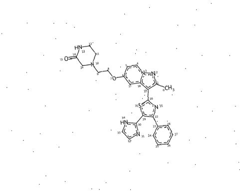 Cc1nn2ccc(OCCN3CCNC(=O)C3)cc2c1-c1nc(-c2ccccc2)c(-c2ncc[nH]2)s1